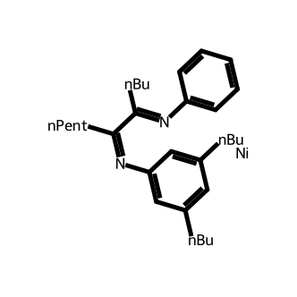 CCCCCC(=Nc1cc(CCCC)cc(CCCC)c1)C(CCCC)=Nc1ccccc1.[Ni]